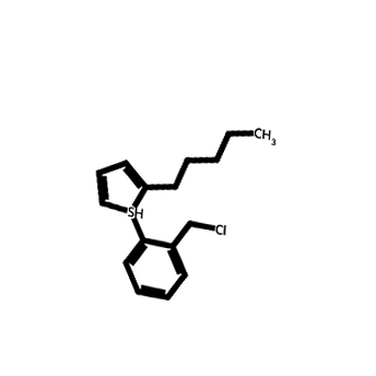 CCCCCC1=CC=C[SH]1c1ccccc1CCl